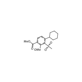 COC(=O)c1ccc(C2CCCCC2)c(S(C)(=O)=O)c1OC